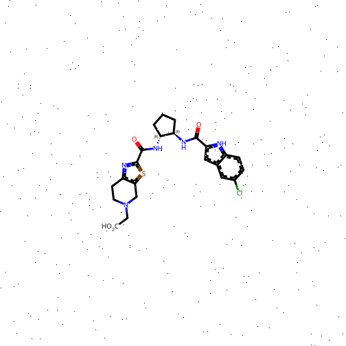 O=C(O)CN1CCc2nc(C(=O)N[C@@H]3CCC[C@H]3NC(=O)c3cc4cc(Cl)ccc4[nH]3)sc2C1